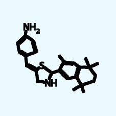 Cc1cc2c(cc1C1NCC(=Cc3ccc(N)cc3)S1)C(C)(C)CCC2(C)C